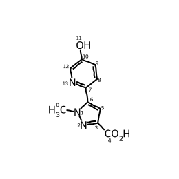 Cn1nc(C(=O)O)cc1-c1ccc(O)cn1